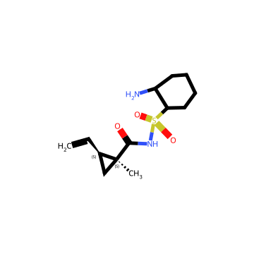 C=C[C@@H]1C[C@]1(C)C(=O)NS(=O)(=O)C1CCCCC1N